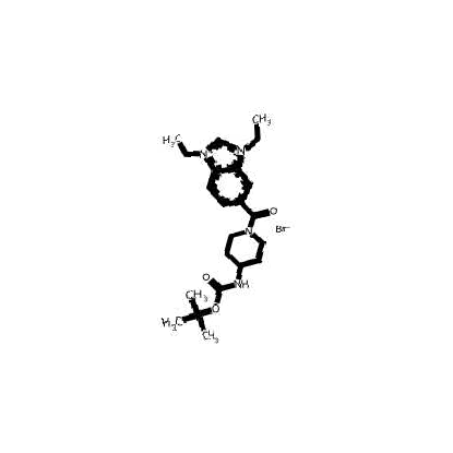 CCn1c[n+](CC)c2ccc(C(=O)N3CCC(NC(=O)OC(C)(C)C)CC3)cc21.[Br-]